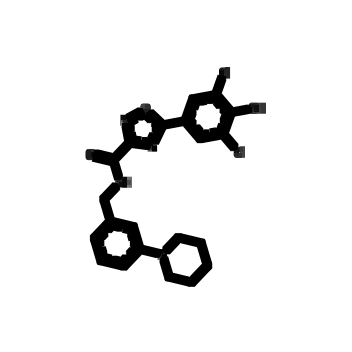 O=C(NCc1cccc(N2CCCCC2)c1)c1noc(-c2cc(Cl)c(O)c(Cl)c2)n1